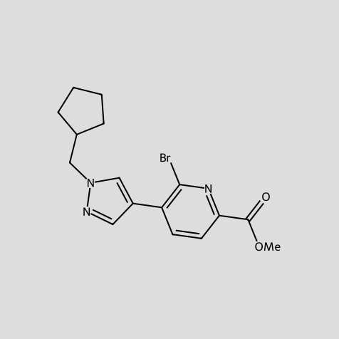 COC(=O)c1ccc(-c2cnn(CC3CCCC3)c2)c(Br)n1